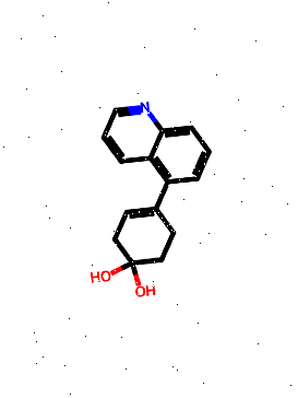 OC1(O)CC=C(c2cccc3ncccc23)CC1